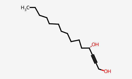 CCCCCCCCCCC[C@H](O)C#CCO